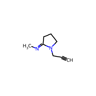 C#CCN1CCC/C1=N\C